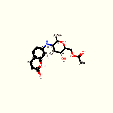 CO[C@H]1OC(COC(=O)C(C)(C)C)[C@H](O)[C@H](C)C1Nc1ccc2ccc(=O)oc2c1